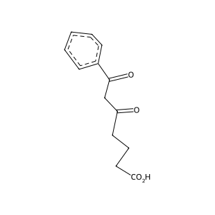 O=C(O)CCCC(=O)CC(=O)c1ccccc1